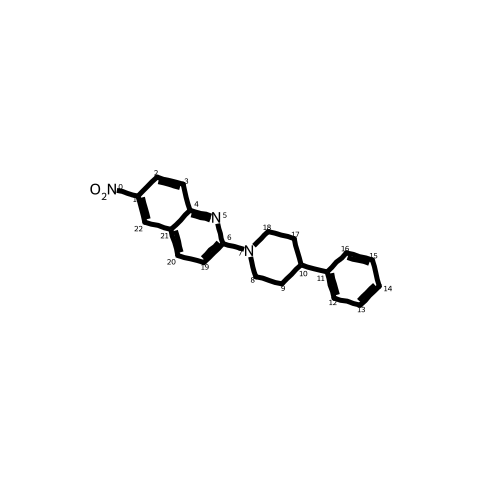 O=[N+]([O-])c1ccc2nc(N3CCC(c4ccccc4)CC3)ccc2c1